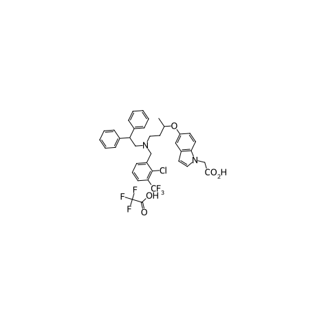 CC(CCN(Cc1cccc(C(F)(F)F)c1Cl)CC(c1ccccc1)c1ccccc1)Oc1ccc2c(ccn2CC(=O)O)c1.O=C(O)C(F)(F)F